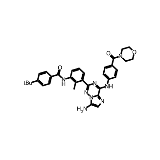 Cc1c(NC(=O)c2ccc(C(C)(C)C)cc2)cccc1-c1nc(Nc2ccc(C(=O)N3CCOCC3)cc2)c2ncc(N)n2n1